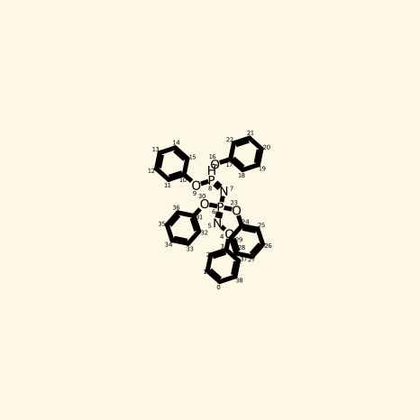 c1ccc(ON=P(N=[PH](Oc2ccccc2)Oc2ccccc2)(Oc2ccccc2)Oc2ccccc2)cc1